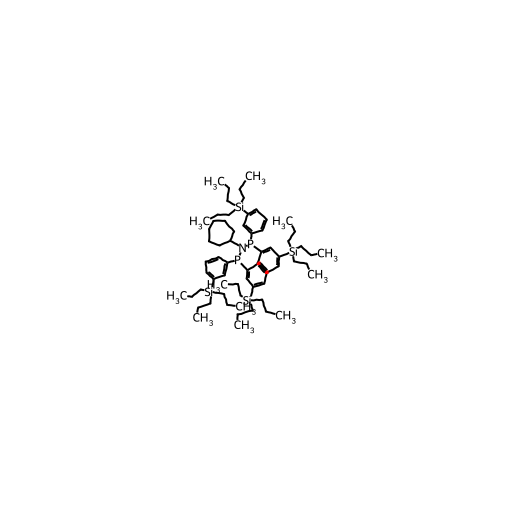 CCC[Si](CCC)(CCC)c1cccc(P(c2cccc([Si](CCC)(CCC)CCC)c2)N(C2CCCCCC2)P(c2cccc([Si](CCC)(CCC)CCC)c2)c2cccc([Si](CCC)(CCC)CCC)c2)c1